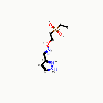 CCS(=O)(=O)CCO/N=C/c1cc[nH]n1